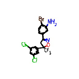 Nc1cc(C2=NOC(c3cc(Cl)cc(Cl)c3)(C(F)(F)F)C2)ccc1Br